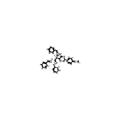 Nc1ccc(CO[C@H](COCc2ccccc2)[C@@H](O)[C@H](O)[C@@H](COCc2ccccc2)OCc2ccccc2)cc1